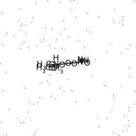 CC(C)(C)OC(=O)NCCOCCOCCOCCn1cc(N=O)cn1